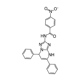 O=C(Nc1nc2n(n1)C(c1ccccc1)C=C(c1ccccc1)N2)c1ccc([N+](=O)[O-])cc1